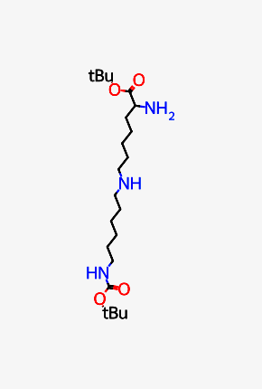 CC(C)(C)OC(=O)NCCCCCCNCCCCCC(N)C(=O)OC(C)(C)C